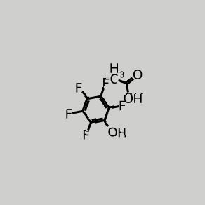 CC(=O)O.Oc1c(F)c(F)c(F)c(F)c1F